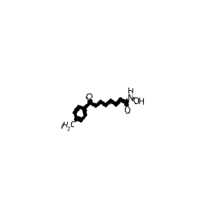 Cc1ccc(C(=O)CCCCCCC(=O)NO)cc1